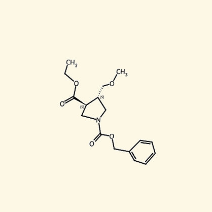 CCOC(=O)[C@@H]1CN(C(=O)OCc2ccccc2)C[C@H]1COC